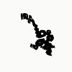 C=CCN1C[C@H](C)N(C(c2cccc(O)c2)c2cccc(C(=O)N3CCCN(CCCCCCC(=O)O)CC3)c2)C[C@H]1C